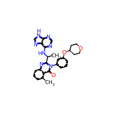 Cc1cccc2nc(C(C)Nc3ncnc4[nH]cnc34)n(-c3cccc(OC4CCOCC4)c3)c(=O)c12